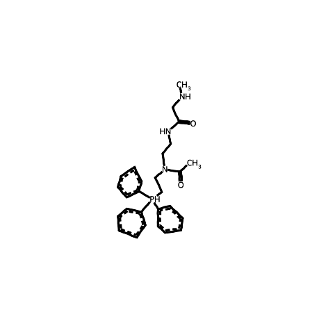 CNCC(=O)NCCN(CC[PH](c1ccccc1)(c1ccccc1)c1ccccc1)C(C)=O